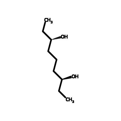 CC[C@H](O)CCC[C@@H](O)CC